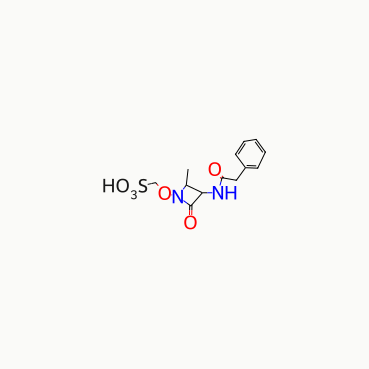 CC1C(NC(=O)Cc2ccccc2)C(=O)N1OCS(=O)(=O)O